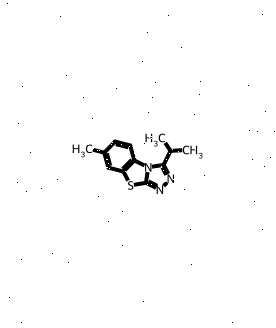 Cc1ccc2c(c1)sc1nnc(C(C)C)n12